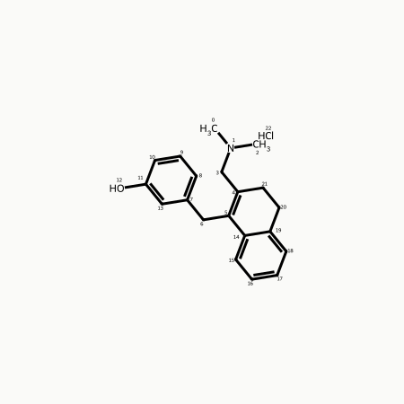 CN(C)CC1=C(Cc2cccc(O)c2)c2ccccc2CC1.Cl